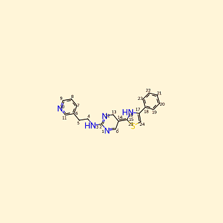 [C]1=NC(NCCc2cccnc2)=NCC1=C1NC(c2ccccc2)=CS1